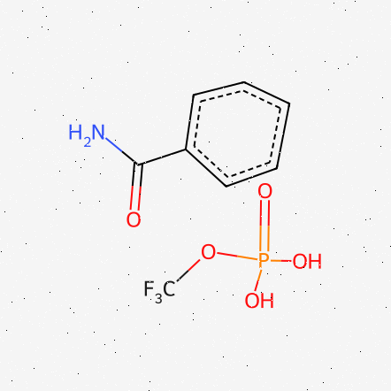 NC(=O)c1ccccc1.O=P(O)(O)OC(F)(F)F